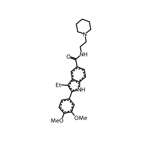 CCc1c(-c2ccc(OC)c(OC)c2)[nH]c2ccc(C(=O)NCCN3CCCCC3)cc12